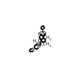 CC1(C)CCC2[C@]3(C)CO[C@@H](C4CCCC4)O[C@@H]3CC[C@@]2(C)[C@@H]1CCN1CCC(N2CCCC2)CC1